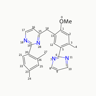 COc1cc(C)c(-c2ncccn2)cc1Cc1ccnc(-c2ccc(C)cc2C)n1